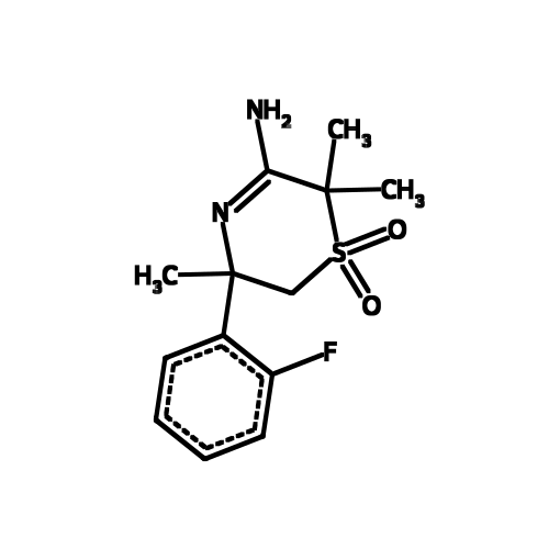 CC1(c2ccccc2F)CS(=O)(=O)C(C)(C)C(N)=N1